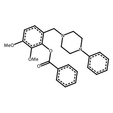 COc1ccc(CN2CCN(c3ccccc3)CC2)c(OC(=O)c2ccccc2)c1OC